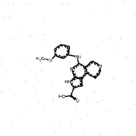 COc1cccc(Nc2nc3[nH]c(C(=O)O)cc3c3ccncc23)c1